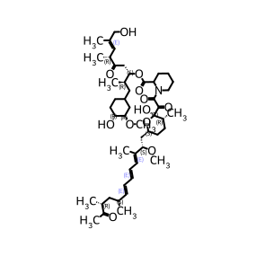 CO[C@@H](C[C@@H]1CC[C@@H](C)[C@](O)(C(=O)C(=O)N2CCCCC2C(=O)O[C@@H](CC(=O)[C@H](C)/C=C(\C)CO)[C@H](C)CC2CC[C@@H](O)[C@H](OC)C2)O1)/C(C)=C/C=C/C=C/[C@@H](C)C[C@@H](C)C(C)=O